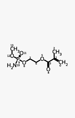 C=C(C)C(=O)OCCOP(N)(=O)OC